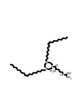 CCCCCCCC/C=C\CCCCCCCCN1CCN(CCCCCCCC/C=C\CCCCCCCC)CCN(C(=O)C(N)CCCNC(=N)N)CC1